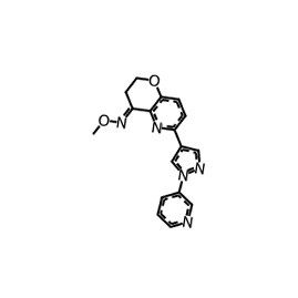 CON=C1CCOc2ccc(-c3cnn(-c4cccnc4)c3)nc21